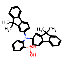 CC1(C)c2ccccc2-c2ccc(N(c3ccc4c(c3)C(C)(C)c3ccccc3-4)c3ccccc3B(O)O)cc21